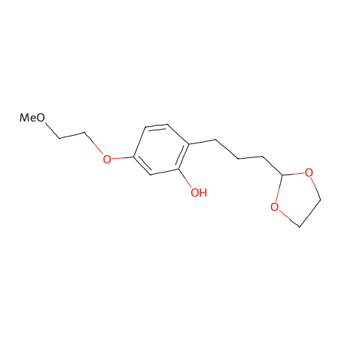 COCCOc1ccc(CCCC2OCCO2)c(O)c1